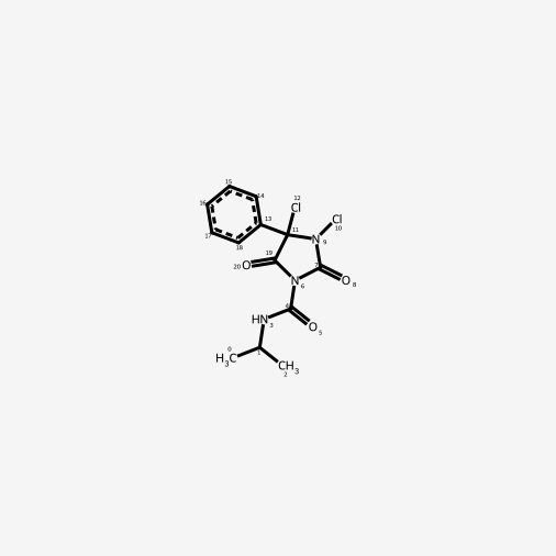 CC(C)NC(=O)N1C(=O)N(Cl)C(Cl)(c2ccccc2)C1=O